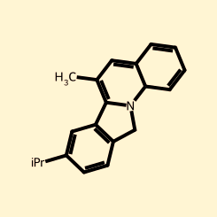 CC1=C2c3cc(C(C)C)ccc3CN2C2C=CC=CC2=C1